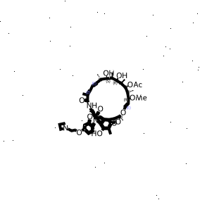 CO[C@H]1/C=C/O[C@@]2(C)Oc3c(C)c(O)c4c(=O)c(c5oc6cc(OCCN7CCC7)ccc6nc-5c4c3C2=O)NC(=O)/C(C)=C\C=C\[C@H](C)[C@H](O)[C@@H](C)[C@@H](O)[C@@H](C)[C@H](OC(C)=O)[C@@H]1C